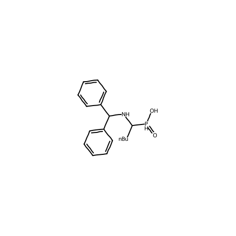 CCCCC(NC(c1ccccc1)c1ccccc1)[PH](=O)O